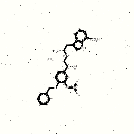 C.C[C@H](Cc1c[nH]c2c(C(=O)O)cccc12)NC[C@H](O)c1ccc(OCc2ccccc2)c(N=S(=O)=O)c1